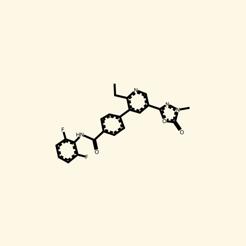 CCc1ncc(-c2nn(C)c(=O)o2)cc1-c1ccc(C(=O)Nc2c(F)cccc2F)cc1